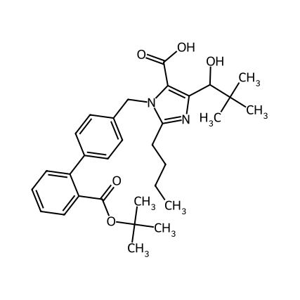 CCCCc1nc(C(O)C(C)(C)C)c(C(=O)O)n1Cc1ccc(-c2ccccc2C(=O)OC(C)(C)C)cc1